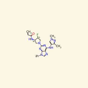 C=CC(=O)N[C@@H]1CN(c2nc(Nc3cn(C)nc3C)c3ncn(C(C)C)c3n2)C[C@@H]1F